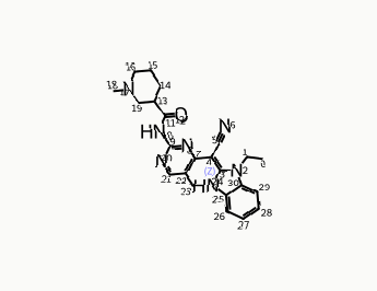 CCN1/C(=C(\C#N)c2nc(NC(=O)C3CCCN(C)C3)ncc2C)Nc2ccccc21